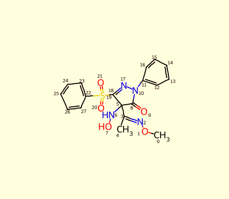 CON=C(C)C1(NO)C(=O)N(c2ccccc2)N=C1S(=O)(=O)c1ccccc1